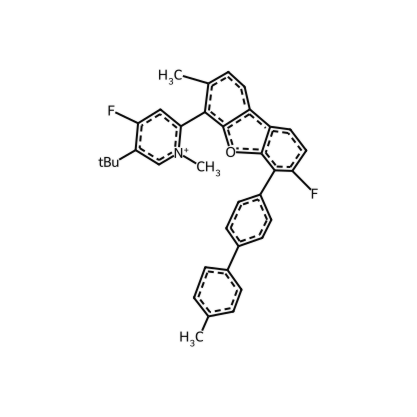 Cc1ccc(-c2ccc(-c3c(F)ccc4c3oc3c(-c5cc(F)c(C(C)(C)C)c[n+]5C)c(C)ccc34)cc2)cc1